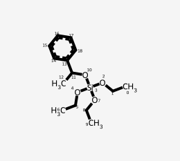 CCO[Si](OCC)(OCC)OC(C)c1ccccc1